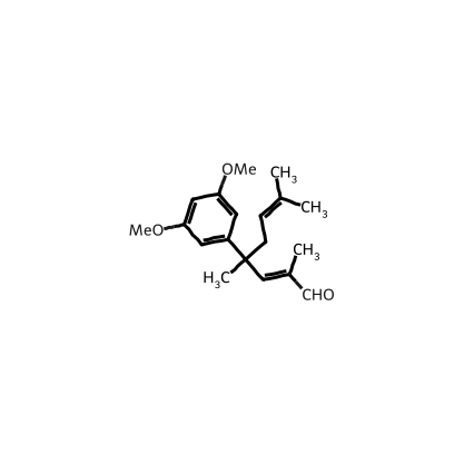 COc1cc(OC)cc(C(C)(/C=C(\C)C=O)CC=C(C)C)c1